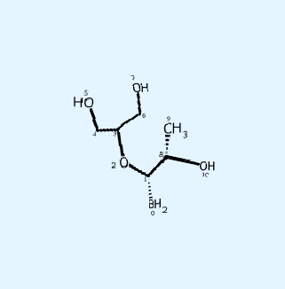 B[C@H](OC(CO)CO)[C@H](C)O